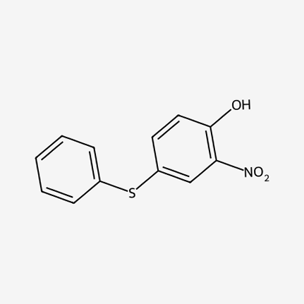 O=[N+]([O-])c1cc(Sc2ccccc2)ccc1O